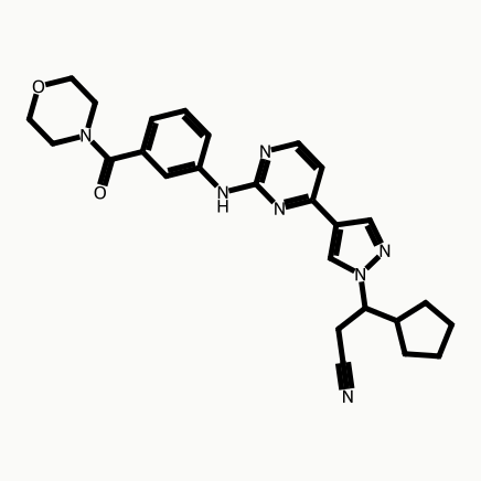 N#CCC(C1CCCC1)n1cc(-c2ccnc(Nc3cccc(C(=O)N4CCOCC4)c3)n2)cn1